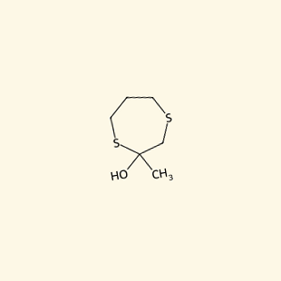 CC1(O)CSCCCS1